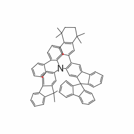 CC1(C)CCC(C)(C)c2cc(-c3cc4c(cc3N(c3ccc5c(c3)C(C)(C)c3ccccc3-5)c3ccccc3-c3ccccc3)C3(c5ccccc5-c5ccccc53)c3ccccc3-4)ccc21